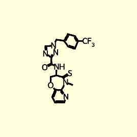 CN1C(=S)C(NC(=O)c2ncn(Cc3ccc(C(F)(F)F)cc3)n2)COc2cccnc21